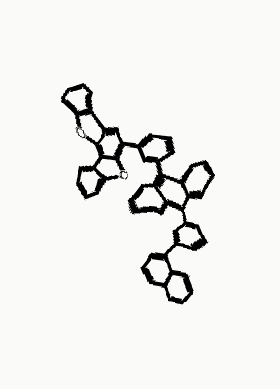 C1=CC2C=CC=C(c3cccc(-c4c5ccccc5c(-c5cccc(-c6cc7c8ccccc8oc7c7c6oc6ccccc67)c5)c5ccccc45)c3)C2C=C1